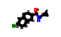 O=C(NC1CC1)c1ccc2cc(Br)ccc2c1